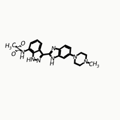 CN1CCN(c2ccc3nc(-c4n[nH]c5c(NS(C)(=O)=O)cccc45)[nH]c3c2)CC1